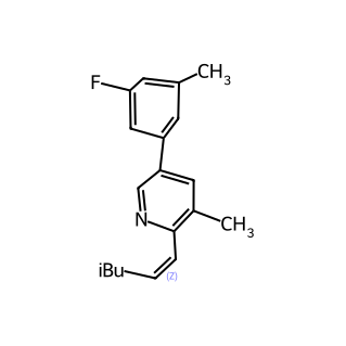 CCC(C)/C=C\c1ncc(-c2cc(C)cc(F)c2)cc1C